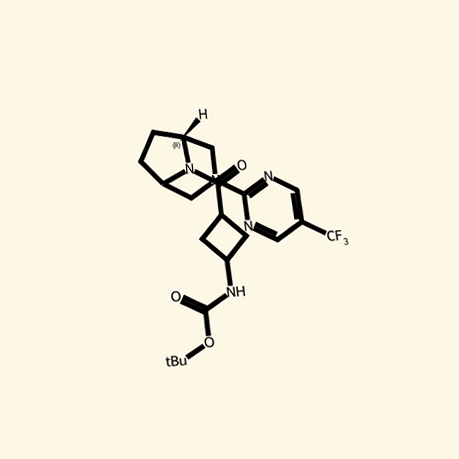 CC(C)(C)OC(=O)NC1CC(C(=O)N2C3CC[C@@H]2CN(c2ncc(C(F)(F)F)cn2)C3)C1